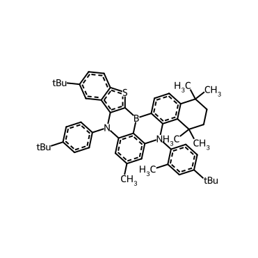 Cc1cc2c3c(c1)N(c1ccc(C(C)(C)C)cc1)c1c(sc4ccc(C(C)(C)C)cc14)B3c1ccc3c(c1N2c1ccc(C(C)(C)C)cc1C)C(C)(C)CCC3(C)C